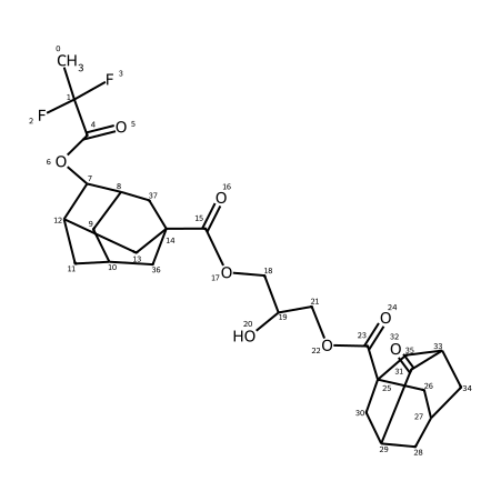 CC(F)(F)C(=O)OC1C2CC3CC1CC(C(=O)OCC(O)COC(=O)C14CC5CC(C1)C(=O)C(C5)C4)(C3)C2